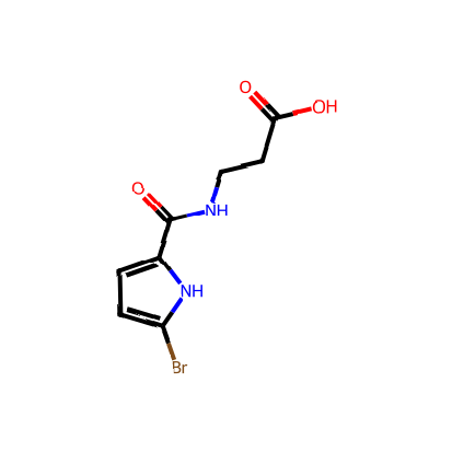 O=C(O)CCNC(=O)c1ccc(Br)[nH]1